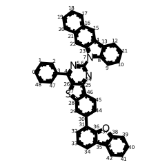 c1ccc(-c2nc(-n3c4ccccc4c4cc5ccccc5cc43)nc3c2sc2cc(-c4cccc5c4oc4ccccc45)ccc23)cc1